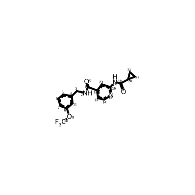 O=C(NCc1cccc(OC(F)(F)F)c1)c1ccnc(NC(=O)C2CC2)c1